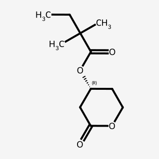 CCC(C)(C)C(=O)O[C@@H]1CCOC(=O)C1